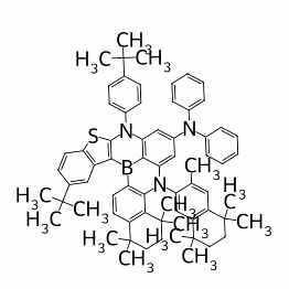 Cc1cc2c(cc1N1c3cc(N(c4ccccc4)c4ccccc4)cc4c3B(c3ccc5c(c31)C(C)(C)CCC5(C)C)c1c(sc3ccc(C(C)(C)C)cc13)N4c1ccc(C(C)(C)C)cc1)C(C)(C)CCC2(C)C